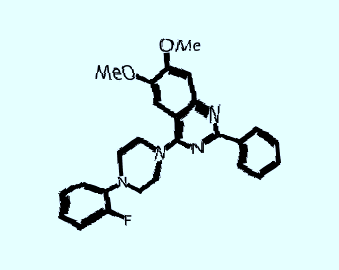 COc1cc2nc(-c3ccccc3)nc(N3CCN(c4ccccc4F)CC3)c2cc1OC